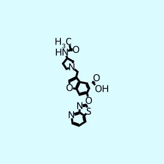 CC(=O)NC1CCN(Cc2coc3cc(Oc4nc5ncccc5s4)ccc23)C1.O=CO